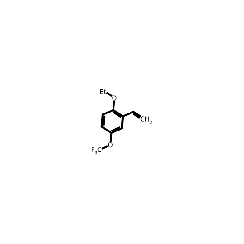 C=Cc1cc(OC(F)(F)F)ccc1OCC